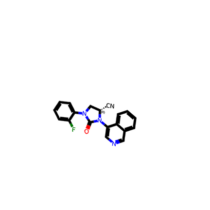 N#C[C@H]1CN(c2ccccc2F)C(=O)N1c1cncc2ccccc12